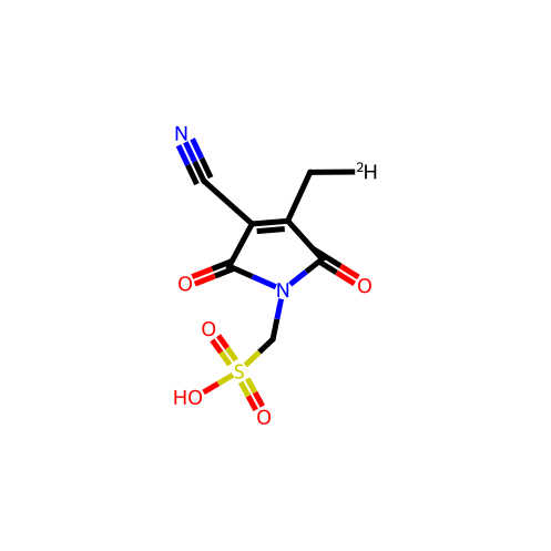 [2H]CC1=C(C#N)C(=O)N(CS(=O)(=O)O)C1=O